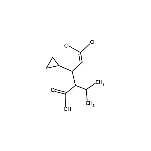 CC(C)C(C(=O)O)C(C=C(Cl)Cl)C1CC1